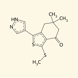 CSc1sc(-c2cn[nH]c2)c2c1C(=O)CC(C)(C)C2